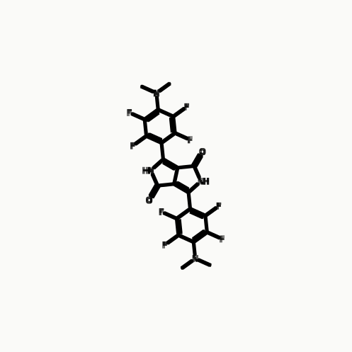 CN(C)c1c(F)c(F)c(C2=C3C(=O)NC(c4c(F)c(F)c(N(C)C)c(F)c4F)=C3C(=O)N2)c(F)c1F